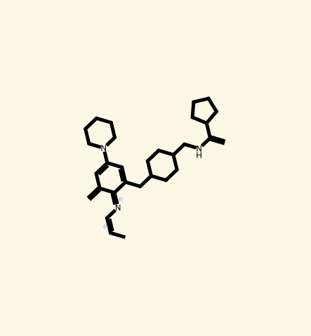 C=C1C=C(N2CCCCC2)C=C(CC2CCC(CNC(=C)C3CCCC3)CC2)/C1=N/C=C\C